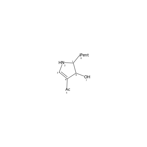 CCCC(C)C1NC=C(C(C)=O)C1O